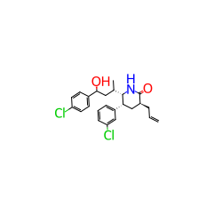 C=CC[C@H]1C[C@H](c2cccc(Cl)c2)[C@H](C(C)C[C@H](O)c2ccc(Cl)cc2)NC1=O